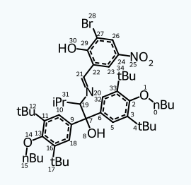 CCCCOc1c(C(C)(C)C)cc(C(O)(c2cc(C(C)(C)C)c(OCCCC)c(C(C)(C)C)c2)C(N=Cc2cc([N+](=O)[O-])cc(Br)c2O)C(C)C)cc1C(C)(C)C